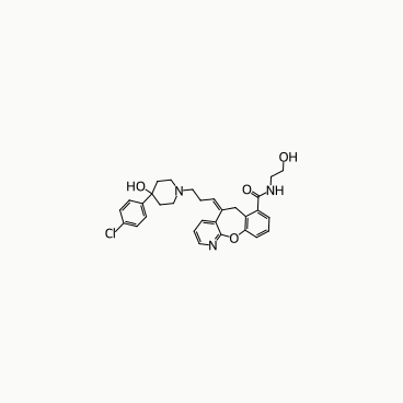 O=C(NCCO)c1cccc2c1C/C(=C/CCN1CCC(O)(c3ccc(Cl)cc3)CC1)c1cccnc1O2